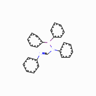 C(=N\c1ccccc1)/N(c1ccccc1)P(c1ccccc1)c1ccccc1